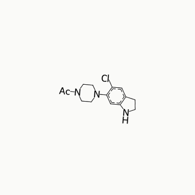 CC(=O)N1CCN(c2cc3c(cc2Cl)CCN3)CC1